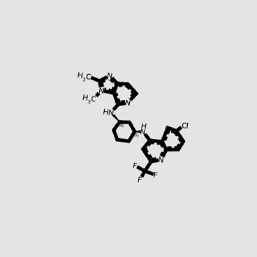 Cc1nc2ccnc(N[C@@H]3CCC[C@H](Nc4cc(C(F)(F)F)nc5ccc(Cl)cc45)C3)c2n1C